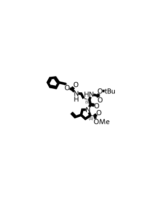 C=CC1C[C@@H](C(=O)OC)N(C(=O)[C@H](CCNC(=O)OCc2ccccc2)NC(=O)OC(C)(C)C)C1